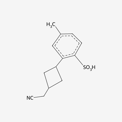 Cc1ccc(S(=O)(=O)O)c(C2CC(CC#N)C2)c1